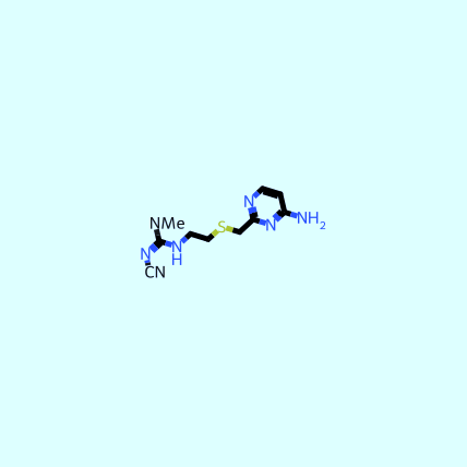 CN/C(=N/C#N)NCCSCc1nccc(N)n1